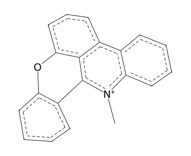 C[n+]1c2c3c(cccc3c3ccccc31)Oc1ccccc1-2